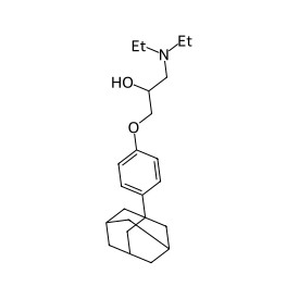 CCN(CC)CC(O)COc1ccc(C23CC4CC(CC(C4)C2)C3)cc1